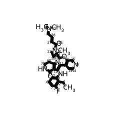 CCc1c(F)cccc1Nc1c(-c2ccncc2OC[C@@]2(C)CCN2C(=O)/C=C/CN(C)C)[nH]c2c1C(=O)NCC2